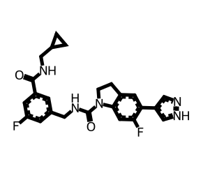 O=C(NCC1CC1)c1cc(F)cc(CNC(=O)N2CCc3cc(-c4cn[nH]c4)c(F)cc32)c1